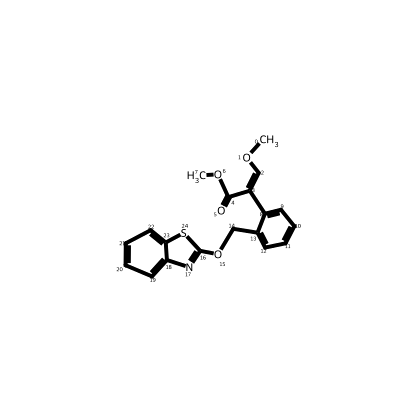 COC=C(C(=O)OC)c1ccccc1COc1nc2ccccc2s1